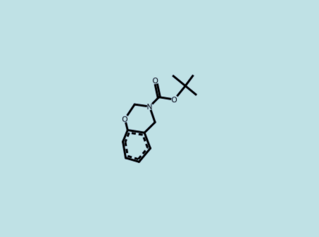 CC(C)(C)OC(=O)N1COc2ccccc2C1